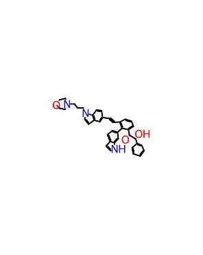 O=C(c1cccc(C#Cc2ccc3c(ccn3CCCN3CCOCC3)c2)c1-c1ccc2cc[nH]c2c1)C(O)c1ccccc1